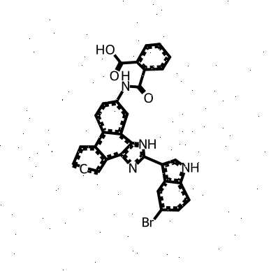 O=C(O)c1ccccc1C(=O)Nc1ccc2c3ccccc3c3nc(-c4c[nH]c5ccc(Br)cc45)[nH]c3c2c1